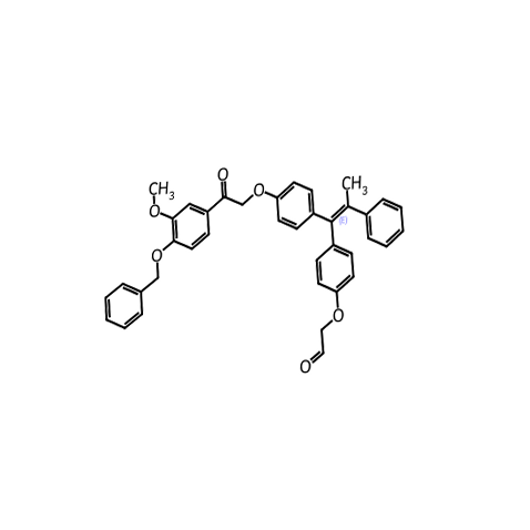 COc1cc(C(=O)COc2ccc(/C(=C(\C)c3ccccc3)c3ccc(OCC=O)cc3)cc2)ccc1OCc1ccccc1